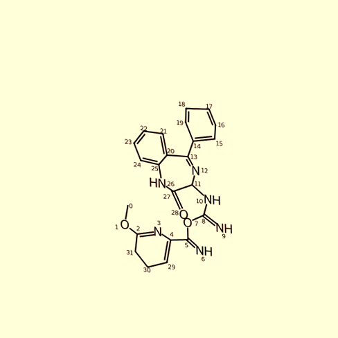 COC1=NC(C(=N)OC(=N)NC2N=C(c3ccccc3)c3ccccc3NC2=O)=CCC1